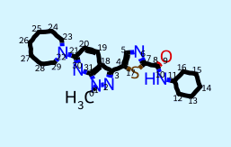 Cn1nc(-c2cnc(C(=O)NC3CCCCC3)s2)c2ccc(N3CCCCCCC3)nc21